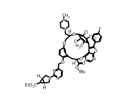 CCOC(=O)C1[C@H]2CN(c3nccc(COc4ccc5cc4C[C@H](C(=O)OC(C)(C)C)Oc4ncnc6sc(-c7ccc(F)cc7)c(c46)-c4c(C)c(Cl)c(c(Cl)c4C)O[C@H](CN4CCN(C)CC4)CO5)n3)C[C@@H]12